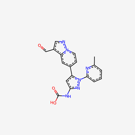 Cc1cccc(-n2nc(NC(=O)O)cc2-c2ccn3ncc(C=O)c3c2)n1